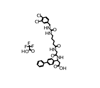 O=C(O)C(F)(F)F.O=C(O)CC(NC(=O)CNC(=O)CCCCNC(=O)NCc1ccc(Cl)c(Cl)c1)c1ccc(-c2ccccc2)cc1